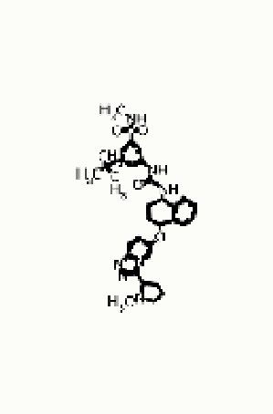 CNS(=O)(=O)c1cc(NC(=O)N[C@H]2CC[C@@H](Oc3ccc4nnc(C5CCCN5C)n4c3)c3ccccc32)cc(C(C)(C)C)c1